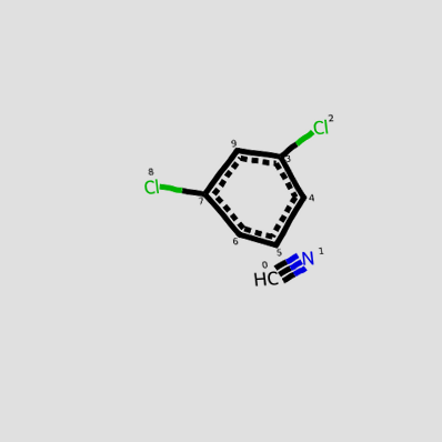 C#N.Clc1cccc(Cl)c1